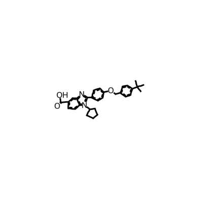 CC(C)(C)c1ccc(COc2ccc(-c3nc4cc(C(=O)O)ccc4n3C3CCCC3)cc2)cc1